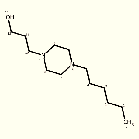 CCCCCCN1CCN(CCCO)CC1